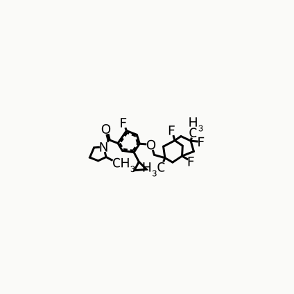 CC1CCCN1C(=O)c1cc(C2CC2)c(OCC2(C)CC3(F)CC(C)(F)CC(F)(C2)C3)cc1F